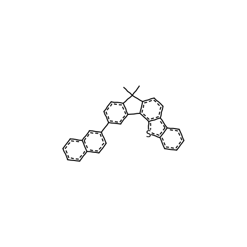 CC1(C)c2ccc(-c3ccc4ccccc4c3)cc2-c2c1ccc1c2sc2ccccc21